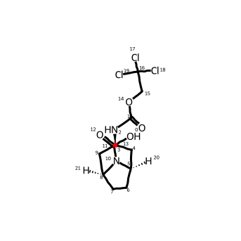 O=C(N[C@H]1C[C@H]2CC[C@@H](C1)N2C(=O)O)OCC(Cl)(Cl)Cl